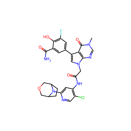 Cn1cnc2c(c(-c3cc(F)c(O)c(C(N)=O)c3)cn2CC(=O)Nc2cc(N3C4CCC3COC4)ncc2Cl)c1=O